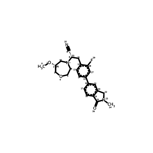 CO[C@H]1COCCN([C@H](C#N)Cc2ccc(-c3ccc4c(c3)CN(C)C4=O)cc2F)C1